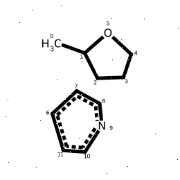 CC1CCCO1.c1ccncc1